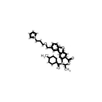 CC1CCC(C(=O)N2c3cc4c(cc3C(=O)OC2C)oc2ccc(COCCCn3cccc3)cc24)CC1